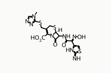 Cn1cnnc1SCC1=C(C(=O)O)N2C(=O)C(NC(=O)C(=NO)c3csc(=N)[nH]3)[C@@H]2SC1